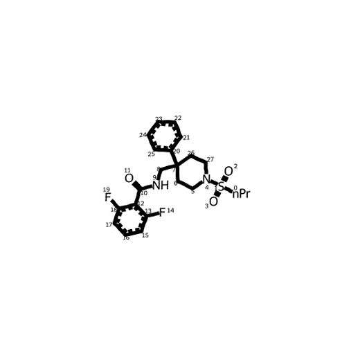 CCCS(=O)(=O)N1CCC(CNC(=O)c2c(F)cccc2F)(c2ccccc2)CC1